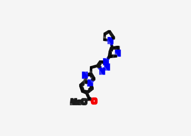 COC(=O)c1ccc2nc(Cc3cn(-c4cncc(N5CCCC5)c4)nn3)cn2c1